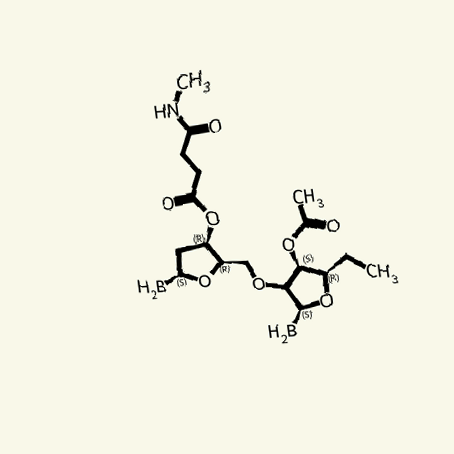 B[C@@H]1O[C@H](CC)[C@H](OC(C)=O)C1OC[C@H]1O[C@@H](B)C[C@H]1OC(=O)CCC(=O)NC